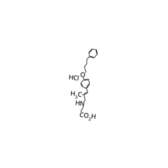 C/C(=C\c1ccc(OCCCCc2ccccc2)cc1)CNCCC(=O)O.Cl